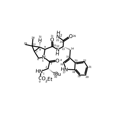 CCOC(=O)N[C@H](C(=O)N1CC2[C@H](C1C(=O)N[C@@H](Cc1c[nH]c3ccccc13)C(N)=O)C2(C)C)C(C)(C)C